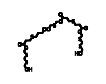 O=C(CCSCCC(=O)OCSCSCO)OCSCOOCCCSCCC(=O)OCSCSCO